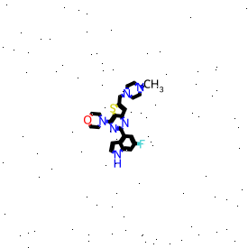 CN1CCN(Cc2cc3nc(-c4cc(F)cc5[nH]ccc45)nc(N4CCOCC4)c3s2)CC1